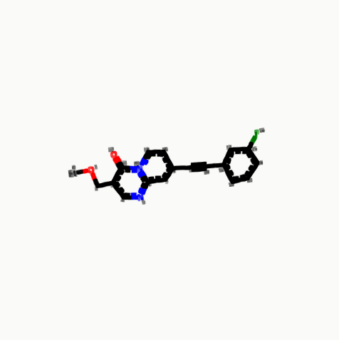 CCOCc1cnc2cc(C#Cc3cccc(F)c3)ccn2c1=O